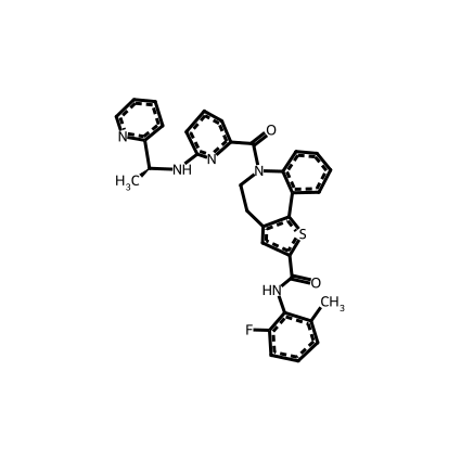 Cc1cccc(F)c1NC(=O)c1cc2c(s1)-c1ccccc1N(C(=O)c1cccc(N[C@@H](C)c3ccccn3)n1)CC2